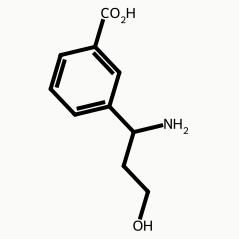 NC(CCO)c1cccc(C(=O)O)c1